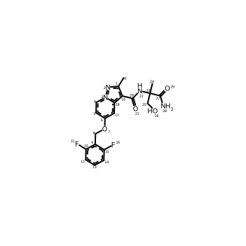 Cc1nn2ccc(OCc3c(F)cccc3F)cc2c1C(=O)NC(C)(CO)C(N)=O